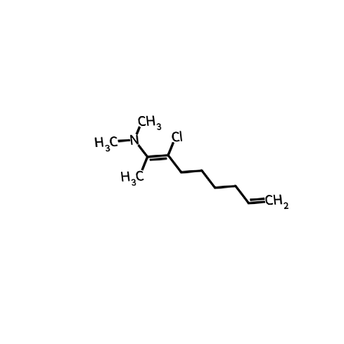 C=CCCCC/C(Cl)=C(\C)N(C)C